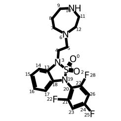 O=S1(=O)N(CCN2CCCNCC2)c2ccccc2N1c1c(F)cc(F)cc1F